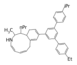 CCCC1C(C)N/C=C\C=C/CC2=CC(c3cc(-c4ccc(CC)cc4)cc(-c4ccc(C(C)C)cc4)c3)=CCC21